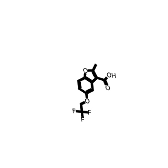 Cc1oc2ccc(OCC(F)(F)F)cc2c1C(=O)O